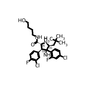 CC(C)(C)C[C@@H]1N[C@@H](C(=O)NCCCCO)[C@H](c2ccc(F)c(Cl)c2)[C@@]1(N)c1ccc(Cl)cc1F